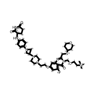 C[Si](C)(C)CCOCn1c(CSC2CCOCC2)nc2cc(OCCN3CCN(C4CN(c5ccc(NC6CCC(=O)NC6=O)cc5)C4)CC3)cc(F)c2c1=O